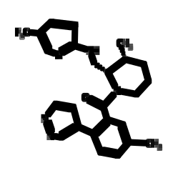 Cc1ccc(-c2ccnnc2)c(C(=O)N2CCC[C@@H](C)[C@H]2CNc2ccc(C(F)(F)F)cn2)c1